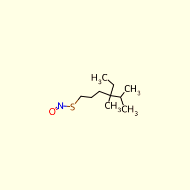 CCC(C)(CCCSN=O)C(C)C